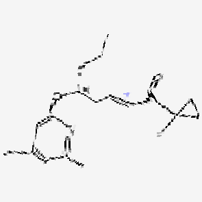 CCC[C@H](C/C=C/C(=O)C1(F)CC1)Oc1cc(C)cc(C)n1